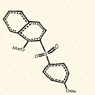 COc1ccc(S(=O)(=O)c2ccc3ccccc3c2OC)cc1